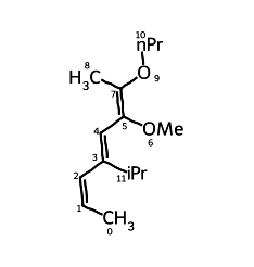 C\C=C/C(=C/C(OC)=C(\C)OCCC)C(C)C